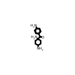 Nc1ccc(C(=O)C2(N)CCC(N)CC2)cc1